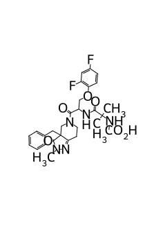 CN1N=C2CCN(C(=O)C(COc3ccc(F)cc3F)NC(=O)C(C)(C)NC(=O)O)CC2(Cc2ccccc2)C1=O